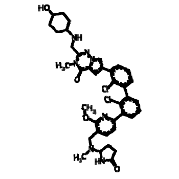 COc1nc(-c2cccc(-c3cccc(-c4cc5c(=O)n(C)c(CNC6CCC(O)CC6)nn5c4)c3Cl)c2Cl)ccc1CN(C)[C@H]1CCC(=O)N1